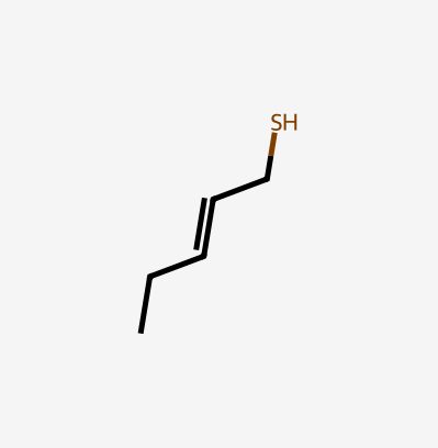 CCC=CCS